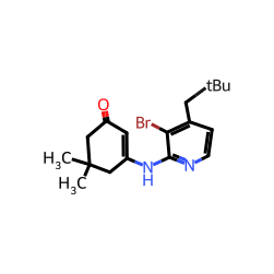 CC(C)(C)Cc1ccnc(NC2=CC(=O)CC(C)(C)C2)c1Br